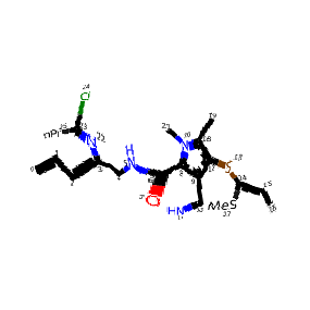 C=C/C=C(CNC(=O)c1c(C=N)c(S/C(=C/C)SC)c(C)n1C)\N=C(\Cl)CCC